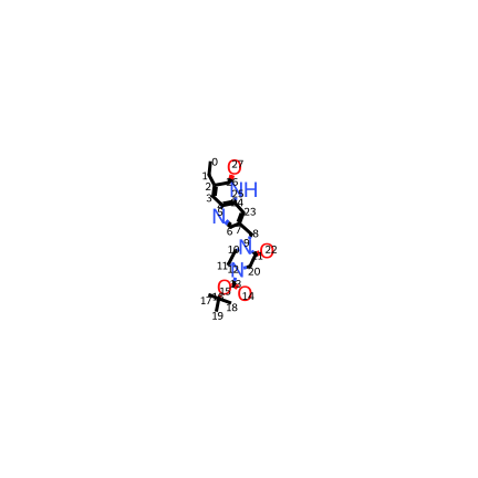 CCc1cc2ncc(CN3CCN(C(=O)OC(C)(C)C)CC3=O)cc2[nH]c1=O